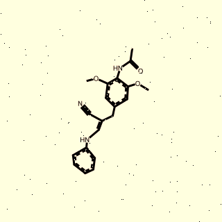 COc1cc(C/C(C#N)=C/Nc2ccccc2)cc(OC)c1NC(C)=O